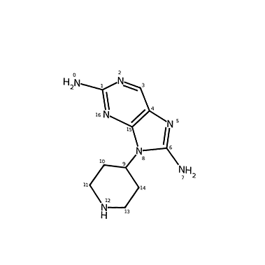 Nc1ncc2nc(N)n(C3CCNCC3)c2n1